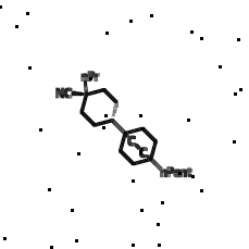 CCCCCC12CCC([C@H]3CC[C@@](C#N)(CCC)CC3)(CC1)CC2